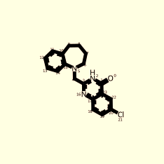 O=c1[nH]c(CN2CCCCc3ccccc32)nc2ccc(Cl)cc12